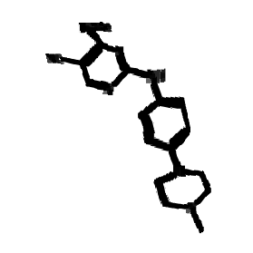 CNc1nc(Nc2ccc(N3CCN(C)CC3)cc2)ncc1C#N